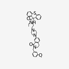 CCNC(=O)C1(CCCCN2CCN(c3ccc4c(c3)C(=O)N(Cc3cccc(OC)c3)CC4)CC2)c2ccccc2Sc2ccccc21